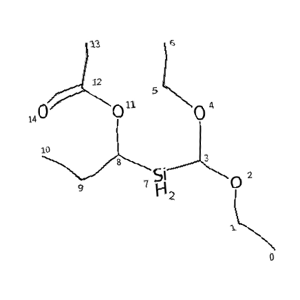 CCOC(OCC)[SiH2]C(CC)OC(C)=O